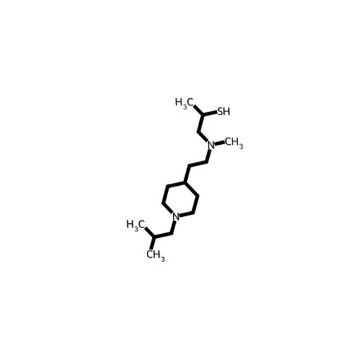 CC(C)CN1CCC(CCN(C)CC(C)S)CC1